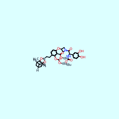 CC(C)(C)OC(=O)NC(C(=O)N1CC(Oc2ccc(CCB3O[C@@H]4C[C@@H]5C[C@@H](C5(C)C)[C@]4(C)O3)c(OC(=O)OC(C)(C)C)c2C(=O)OC(C)(C)C)C1)c1ccc(O)c(O)c1